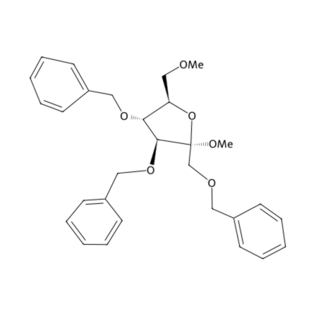 COC[C@H]1O[C@](COCc2ccccc2)(OC)[C@@H](OCc2ccccc2)[C@@H]1OCc1ccccc1